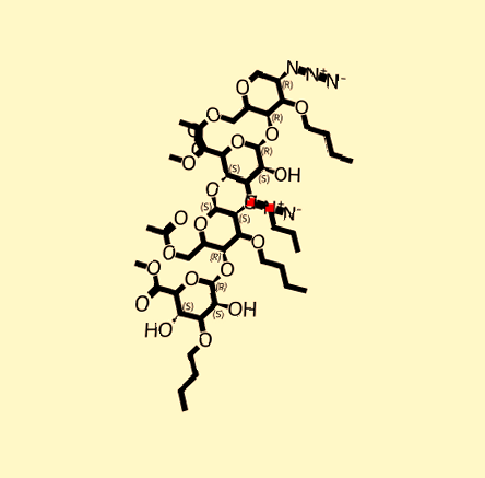 CCCCOC1[C@@H](O[C@@H]2OC(C(=O)OC)[C@@H](O[C@@H]3OC(COC(C)=O)[C@H](O[C@@H]4OC(C(=O)OC)[C@@H](O)C(OCCCC)[C@@H]4O)C(OCCCC)[C@@H]3N=[N+]=[N-])C(OCCCC)[C@@H]2O)C(COC(C)=O)OC[C@H]1N=[N+]=[N-]